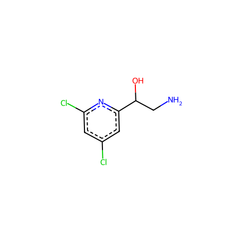 NCC(O)c1cc(Cl)cc(Cl)n1